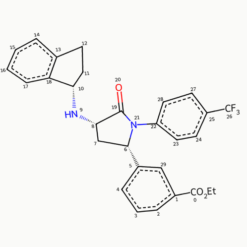 CCOC(=O)c1cccc([C@@H]2C[C@H](N[C@H]3CCc4ccccc43)C(=O)N2c2ccc(C(F)(F)F)cc2)c1